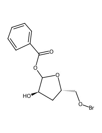 O=C(OC1O[C@H](COBr)C[C@H]1O)c1ccccc1